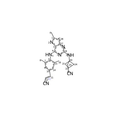 Cc1nc2c(Nc3c(C)cc(/C=C/C#N)cc3C)nc(NC34CC(C#N)(C3)C4)nc2s1